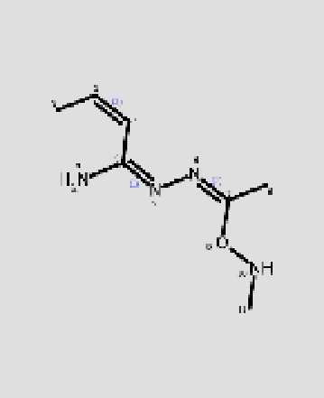 C\C=C/C(N)=N\N=C(\C)ONC